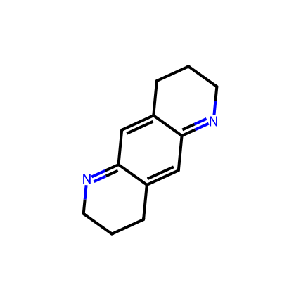 c1c2c(cc3c1=NCCC3)=NCCC2